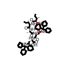 CC[C@H](C)[C@H](N)C(=O)N[C@H](C(=O)N[C@@H](C)C(=O)N[C@@H](CC(=O)NC(c1ccccc1)(c1ccccc1)c1ccccc1)C(=O)N[C@@H](CC(=O)NC(c1ccccc1)(c1ccccc1)c1ccccc1)C(=O)O)[C@@H](C)CC